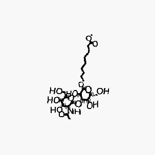 COC(=O)CCCCCCCCO[C@@H]1O[C@H](CO)[C@H](O)[C@H](O[C@H]2O[C@H](CO)[C@H](O)[C@H](O)[C@H]2NC(C)=O)[C@H]1O